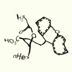 CCCCCCC1C(C(=O)O)C1(CC1c2ccccc2Oc2ccccc21)OC(=O)CN